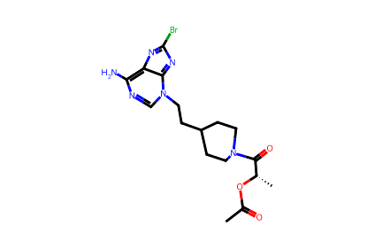 CC(=O)O[C@@H](C)C(=O)N1CCC(CCn2cnc(N)c3nc(Br)nc2-3)CC1